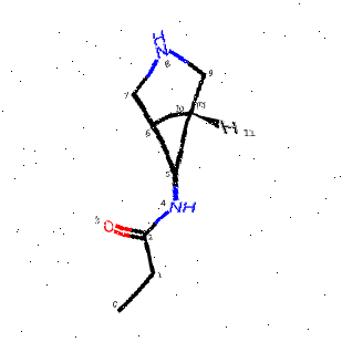 CCC(=O)NC1C2CNC[C@@H]21